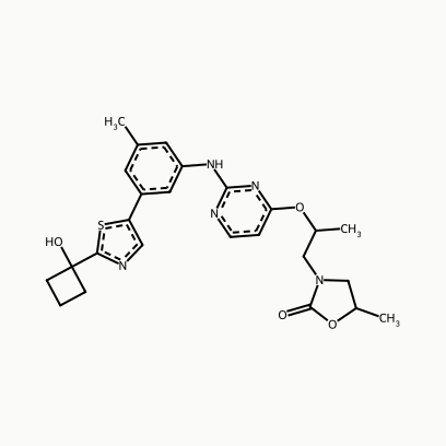 Cc1cc(Nc2nccc(OC(C)CN3CC(C)OC3=O)n2)cc(-c2cnc(C3(O)CCC3)s2)c1